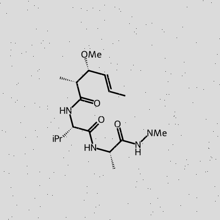 C/C=C/[C@@H](OC)[C@@H](C)C(=O)N[C@H](C(=O)N[C@@H](C)C(=O)NNC)C(C)C